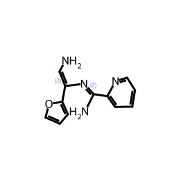 N/C=C(\N=C(/N)c1ccccn1)c1ccco1